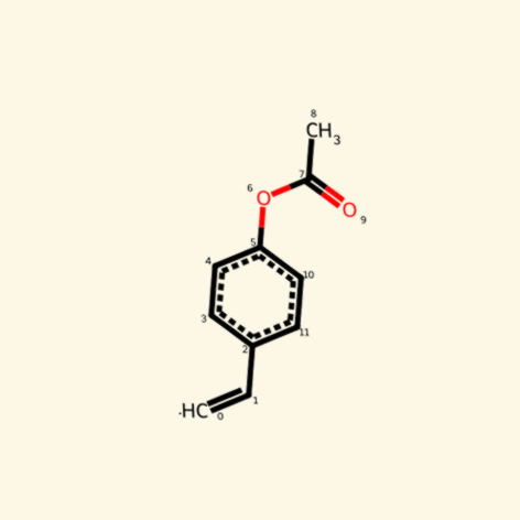 [CH]=Cc1ccc(OC(C)=O)cc1